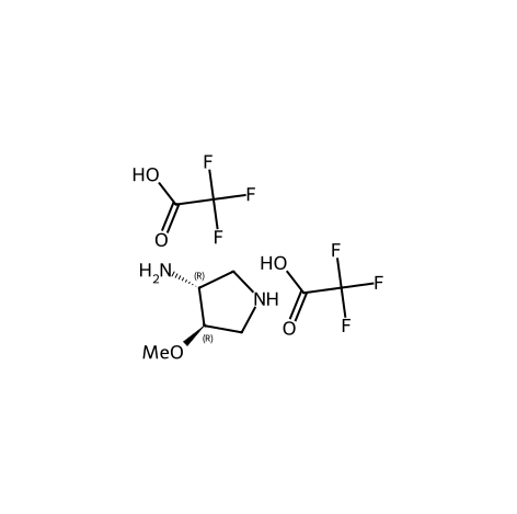 CO[C@@H]1CNC[C@H]1N.O=C(O)C(F)(F)F.O=C(O)C(F)(F)F